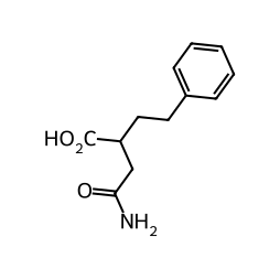 NC(=O)CC(CCc1ccccc1)C(=O)O